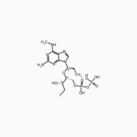 CC[C@@H](O[C@H](COP(=O)(O)OP(=O)(O)O)[C@@H](O)CF)n1cnc2c(NC)nc(N)nc21